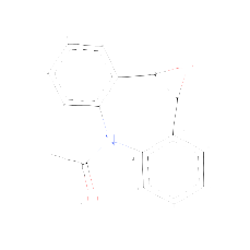 CC(=O)N1c2ccccc2C2OC2c2ccccc21